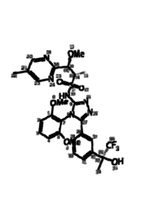 COc1cccc(OC)c1-n1c(NS(=O)(=O)[C@@H](C)[C@H](OC)c2ncc(C)cn2)nnc1-c1cccc([C@](C)(O)C(F)(F)F)c1